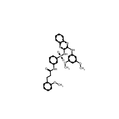 COc1cc(Nc2nc3ccccc3nc2NS(=O)(=O)c2cccc(NC(=O)CCc3ccccc3OC)c2)cc(OC)c1